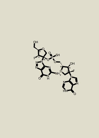 Nc1nc2c(nnn2[C@@]2(OP(=O)(S)OC[C@H]3OC[C@@](F)(n4cnc5c(=O)[nH]cnc54)[C@@H]3O)CO[C@H](CO)[C@@H]2F)c(=O)[nH]1